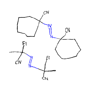 CCC(C)(C#N)N=NC(C)(C#N)CC.N#CC1(N=NC2(C#N)CCCCC2)CCCCC1